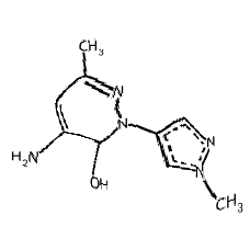 CC1=NN(c2cnn(C)c2)C(O)C(N)=C1